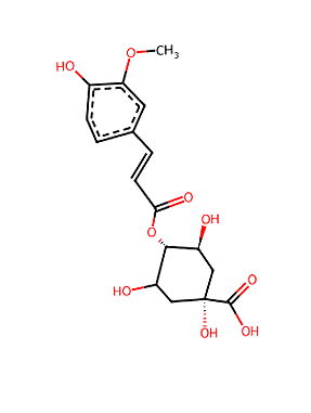 COc1cc(/C=C/C(=O)O[C@H]2C(O)C[C@](O)(C(=O)O)C[C@@H]2O)ccc1O